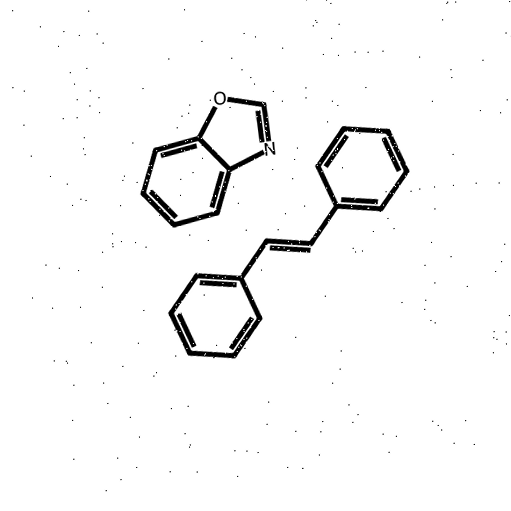 C(=C\c1ccccc1)/c1ccccc1.c1ccc2ocnc2c1